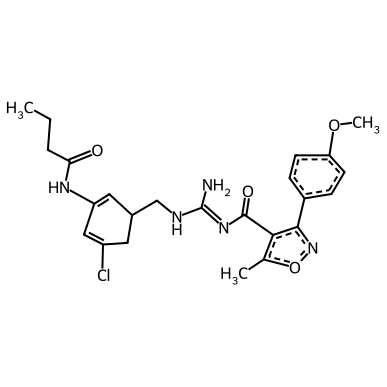 CCCC(=O)NC1=CC(CN/C(N)=N/C(=O)c2c(-c3ccc(OC)cc3)noc2C)CC(Cl)=C1